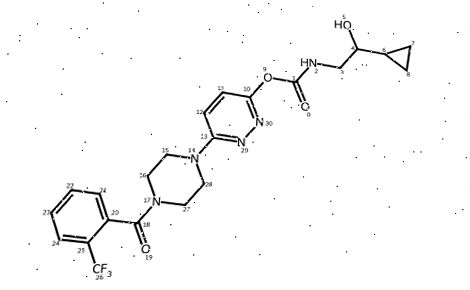 O=C(NCC(O)C1CC1)Oc1ccc(N2CCN(C(=O)c3ccccc3C(F)(F)F)CC2)nn1